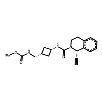 C#C[C@H]1c2ccccc2CCN1C(=O)N[C@H]1C[C@@H](CNC(=O)OC(C)(C)C)C1